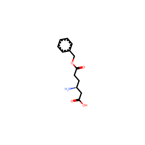 N[C@@H](CCC(=O)OCc1ccccc1)CC(=O)O